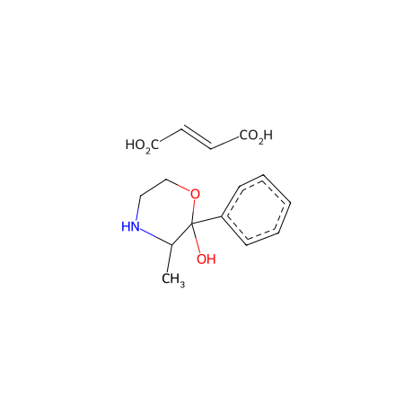 CC1NCCOC1(O)c1ccccc1.O=C(O)C=CC(=O)O